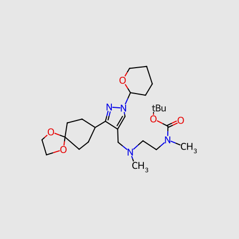 CN(CCN(C)C(=O)OC(C)(C)C)Cc1cn(C2CCCCO2)nc1C1CCC2(CC1)OCCO2